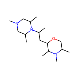 CC1COC(CC(C)N2C(C)CN(C)CC2C)C(C)N1C